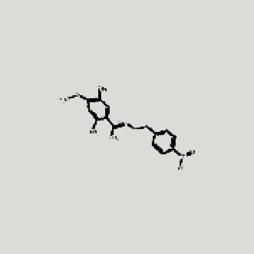 Bc1cc(OC)c(O)cc1/C(C)=N/OCc1ccc([N+](=O)[O-])cc1